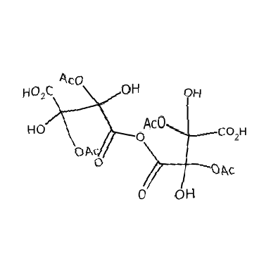 CC(=O)OC(O)(C(=O)O)C(O)(OC(C)=O)C(=O)OC(=O)C(O)(OC(C)=O)C(O)(OC(C)=O)C(=O)O